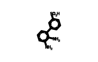 Nc1cccc(-c2cccc(S(=O)(=O)O)c2)c1N